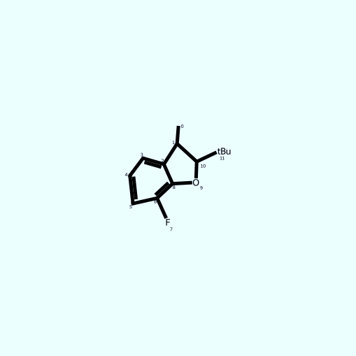 CC1c2cccc(F)c2OC1C(C)(C)C